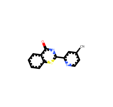 N#Cc1ccnc(-c2nc(=O)c3ccccc3s2)c1